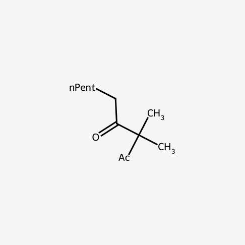 CCCCCCC(=O)C(C)(C)C(C)=O